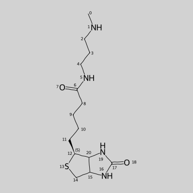 CNCCCNC(=O)CCCC[C@@H]1SCC2NC(=O)NC21